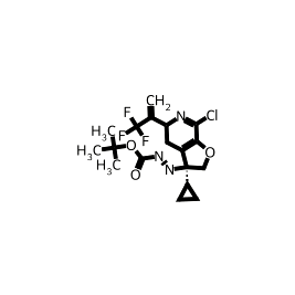 C=C(C1CC2=C(OC[C@]2(N=NC(=O)OC(C)(C)C)C2CC2)C(Cl)=N1)C(F)(F)F